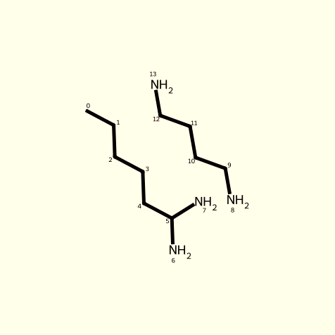 CCCCCC(N)N.NCCCCN